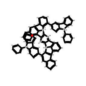 c1ccc(-n2c3ccccc3c3cc(-c4cc5ccccc5c5c6cccc7c8nc9c(nc8n(c45)c76)c4c5ccccc5cc5c6cccc(-c7ccc8c(c7)c7ccccc7n8-c7ccccc7)c6n9c54)ccc32)cc1